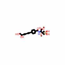 COC(=O)C(NC(=O)c1ccc(C#CC#CC(O)CO)cc1)C1(OC)CS(O)(O)C1